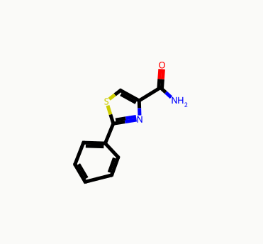 NC(=O)c1csc(-c2ccccc2)n1